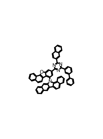 c1ccc(-c2cccc(-c3nc(-c4ccc5ccccc5c4)nc(-c4cc(-n5c6cc7ccccc7cc6c6ccc7ccccc7c65)c5c(c4)oc4c6ccccc6ccc45)n3)c2)cc1